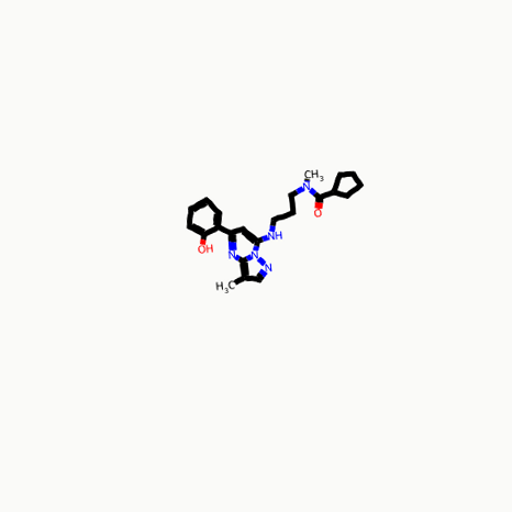 Cc1cnn2c(NCCCN(C)C(=O)C3CCCC3)cc(-c3ccccc3O)nc12